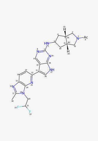 CC(=O)N1C[C@H]2CC(Nc3ncc4c(-c5ccc6nc(C)n(CC(F)F)c6n5)c[nH]c4n3)C[C@H]2C1